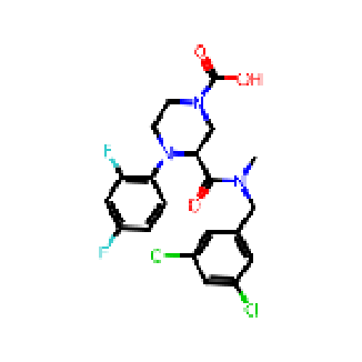 CN(Cc1cc(Cl)cc(Cl)c1)C(=O)C1CN(C(=O)O)CCN1c1ccc(F)cc1F